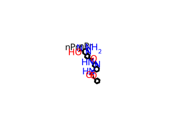 CCCN(CCC)C(O)C1=Cc2ccc(C(=O)Nc3cnc4c(c3)C(NC(=O)OCc3ccccc3)CCC4)cc2N=C(N)C1